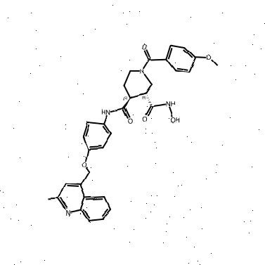 COc1ccc(C(=O)N2CC[C@H](C(=O)Nc3ccc(OCc4cc(C)nc5ccccc45)cc3)[C@@H](C(=O)NO)C2)cc1